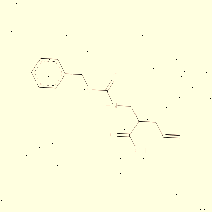 C=CCC(CNC(=O)OCc1ccccc1)C(=O)O